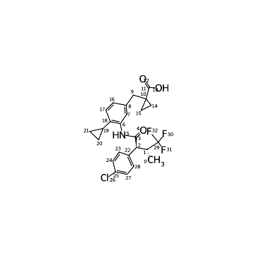 C[C@H]([C@H](C(=O)Nc1cc(CC2(C(=O)O)CC2)ccc1C1CC1)c1ccc(Cl)cc1)C(F)(F)F